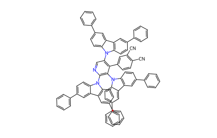 N#Cc1ccc(-c2c(-n3c4ccc(-c5ccccc5)cc4c4cc(-c5ccccc5)ccc43)cnc(-n3c4ccc(-c5ccccc5)cc4c4cc(-c5ccccc5)ccc43)c2-n2c3ccc(-c4ccccc4)cc3c3cc(-c4ccccc4)ccc32)cc1C#N